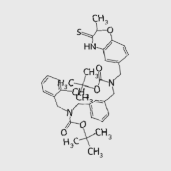 Cc1ccccc1CN(Cc1cccc(CN(Cc2ccc3c(c2)NC(=S)C(C)O3)C(=O)OC(C)(C)C)c1)C(=O)OC(C)(C)C